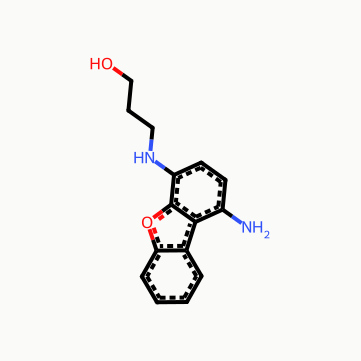 Nc1ccc(NCCCO)c2oc3ccccc3c12